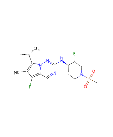 C[C@@H](c1c(C#N)c(F)c2cnc(N[C@@H]3CCN(S(C)(=O)=O)C[C@H]3F)nn12)C(F)(F)F